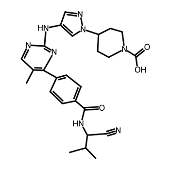 Cc1cnc(Nc2cnn(C3CCN(C(=O)O)CC3)c2)nc1-c1ccc(C(=O)NC(C#N)C(C)C)cc1